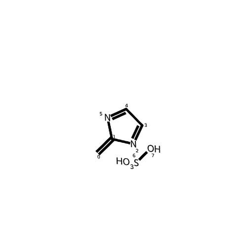 C=C1N=CC=N1.O=S(=O)(O)O